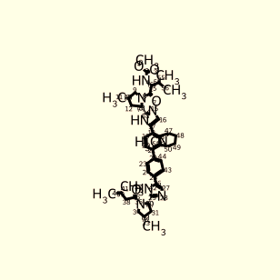 COC(=O)N[C@H](C(=O)N1C[C@@H](C)C[C@H]1c1ncc(-c2ccc(-c3ccc(-c4cnc([C@@H]5C[C@H](C)CN5C(=O)CC(C)C)[nH]4)cc3)c3c2C2CCC3N2C)[nH]1)C(C)C